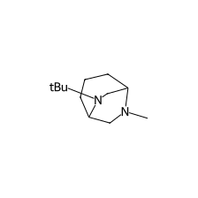 CN1CC2CCCC1CN2C(C)(C)C